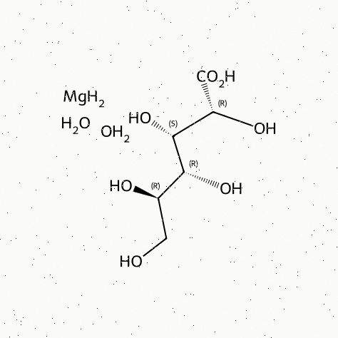 O.O.O=C(O)[C@H](O)[C@@H](O)[C@H](O)[C@H](O)CO.[MgH2]